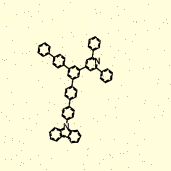 c1ccc(-c2ccc(-c3cc(-c4ccc(-c5ccc(-n6c7ccccc7c7ccccc76)cc5)cc4)cc(-c4cc(-c5ccccc5)nc(-c5ccccc5)c4)c3)cc2)cc1